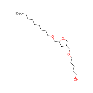 CCCCCCCCCCCCCCCCCCOCC1CC(COCCCCCO)CO1